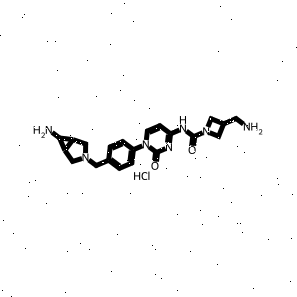 Cl.NCC1CN(C(=O)Nc2ccn(-c3ccc(CN4CC5C(N)C5C4)cc3)c(=O)n2)C1